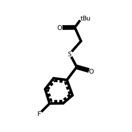 CC(C)(C)C(=O)CSC(=O)c1ccc(F)cc1